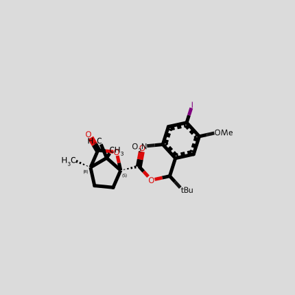 COc1cc(C(OC(=O)[C@@]23CC[C@@](C)(C(=O)O2)C3(C)C)C(C)(C)C)c([N+](=O)[O-])cc1I